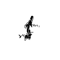 Nc1nc2c(sc(=O)n2CCN2CCN(c3cc(O[C@@H]4CN(C(=O)O)C[C@H]4F)c(F)cc3F)CC2)c2nc(-c3ccco3)nn12